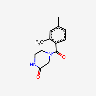 Cc1ccc(C(=O)N2CCNC(=O)C2)c(C(F)(F)F)c1